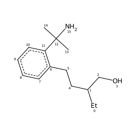 CCC(CO)CCc1ccccc1C(C)(C)N